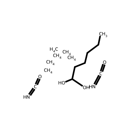 C.C.C.C.C.C.CCCCCC(O)O.N=C=O.N=C=O